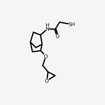 O=C(CS)NC1CC2CC(OCC3CO3)C1C2